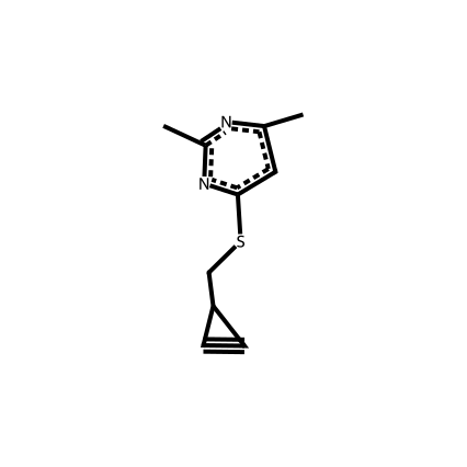 Cc1cc(SCC2C#C2)nc(C)n1